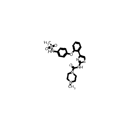 CN1CCN(C(=O)Nc2nc(-c3ccccc3Oc3ccc(NS(C)(=O)=O)cc3)cs2)CC1